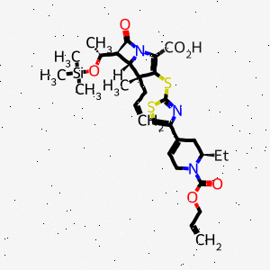 C=CCOC(=O)N1CC=C(c2csc(SC3=C(C(=O)O)N4C(=O)[C@H]([C@@H](C)O[Si](C)(C)C)[C@H]4[C@@]3(C)CC=C)n2)C[C@H]1CC